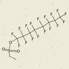 CCS(=O)(=O)OC(F)(F)C(F)(F)C(F)(F)C(F)(F)C(F)(F)C(F)(F)C(F)(F)C(F)(F)F